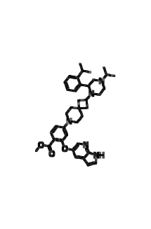 COC(=O)c1ccc(N2CCC3(CC2)CC(N2CCN(C(C)C)CC2c2ccccc2C(C)C)C3)cc1Oc1cnc2[nH]ccc2c1